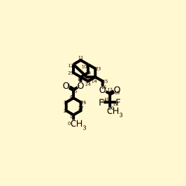 CC1CCC(C(=O)OC23CC4CC(CC(COC(=O)C(C)(F)F)(C4)C2)C3)CC1